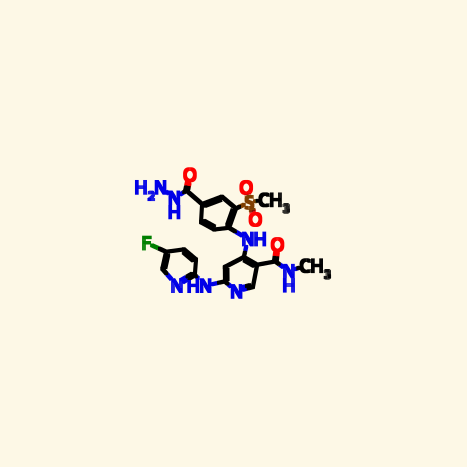 CNC(=O)c1cnc(Nc2ccc(F)cn2)cc1Nc1ccc(C(=O)NN)cc1S(C)(=O)=O